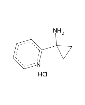 Cl.NC1(c2ccccn2)CC1